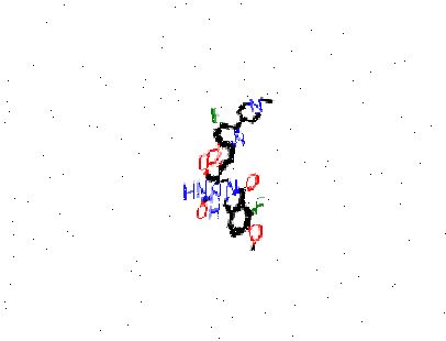 CCN1CCC(c2nc3cc([C@]4(CN5Cc6ccc(OC)c(F)c6C5=O)NC(=O)NC4=O)oc3cc2F)CC1